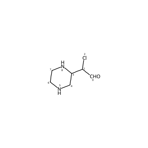 O=CC(Cl)C1CNCCN1